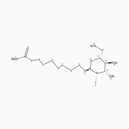 COC(=O)CCCCCCCCO[C@H]1O[C@H](COC(C)=O)[C@@H](OC(C)=O)[C@H](OC(C)=O)[C@@H]1I